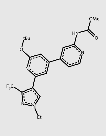 CCn1cc(-c2cc(-c3ccnc(NC(=O)OC)c3)cc(OC(C)(C)C)n2)c(C(F)(F)F)n1